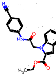 CCOC(=O)c1cc2ccccc2n1CC(=O)Nc1ccc(C#N)cc1